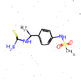 C[C@H](NC(N)=S)c1ccc(NS(C)(=O)=O)cc1